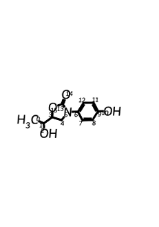 CC(O)C1CN(c2ccc(O)cc2)C(=O)O1